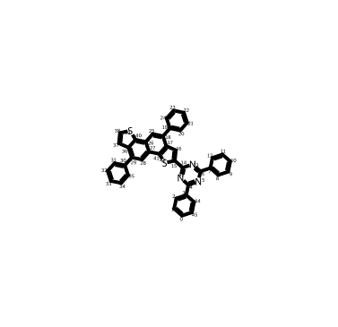 c1ccc(-c2nc(-c3ccccc3)nc(-c3cc4c(-c5ccccc5)cc5c(cc(-c6ccccc6)c6ccsc65)c4s3)n2)cc1